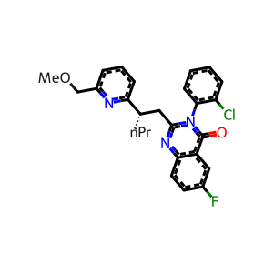 CCC[C@@H](Cc1nc2ccc(F)cc2c(=O)n1-c1ccccc1Cl)c1cccc(COC)n1